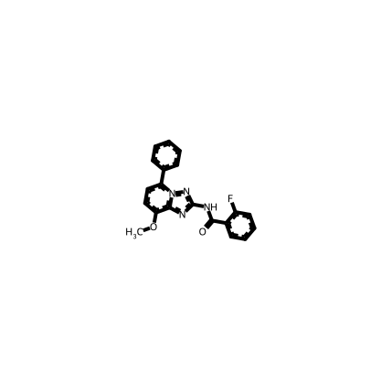 COc1ccc(-c2ccccc2)n2nc(NC(=O)c3ccccc3F)nc12